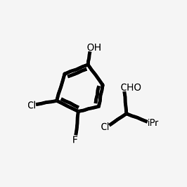 CC(C)C(Cl)C=O.Oc1ccc(F)c(Cl)c1